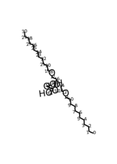 CCCCCCCCCCCCOCCOCCOCCCCCCCCCCCC.O=S(=O)(O)O